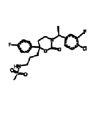 C[C@@H](c1ccc(Cl)c(F)c1)N1CC[C@@](CCCNS(C)(=O)=O)(c2ccc(F)cc2)OC1=O